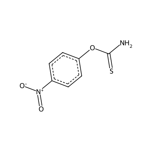 NC(=S)Oc1ccc([N+](=O)[O-])cc1